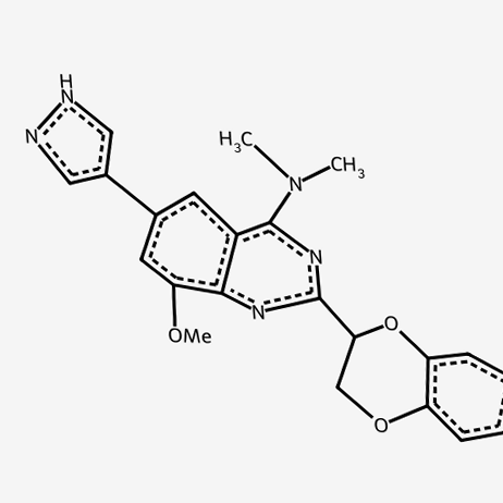 COc1cc(-c2cn[nH]c2)cc2c(N(C)C)nc(C3COc4ccccc4O3)nc12